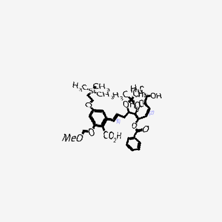 COCOc1cc(OCC[Si](C)(C)C)cc(/C=C/CC2OC(C)(C)OC2C(/C=C\[C@@H](C)[C@H](C)O)OC(=O)c2ccccc2)c1C(=O)O